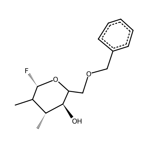 CC1[C@H](F)OC(COCc2ccccc2)[C@@H](O)[C@@H]1C